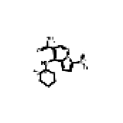 C[C@@H]1CCCC[C@@H]1Nc1c(C(N)=O)cnn2c([N+](=O)[O-])ccc12